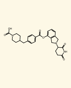 O=C1CCC(N2Cc3cccc(OC(=O)c4ccc(CC5CCN(C(=O)O)CC5)cc4)c3C2)C(=O)N1